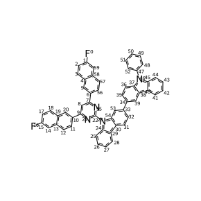 Fc1ccc2cc(-c3cc(-c4ccc5cc(F)ccc5c4)nc(-n4c5ccccc5c5ccc(-c6ccc7c(c6)c6ccccc6n7-c6ccccc6)cc54)n3)ccc2c1